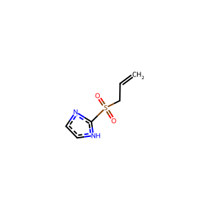 C=CCS(=O)(=O)c1ncc[nH]1